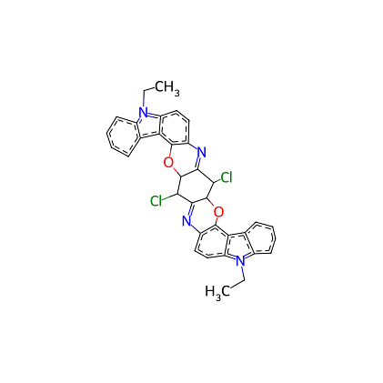 CCn1c2ccccc2c2c3c(ccc21)N=C1C(Cl)C2Oc4c(ccc5c4c4ccccc4n5CC)N=C2C(Cl)C1O3